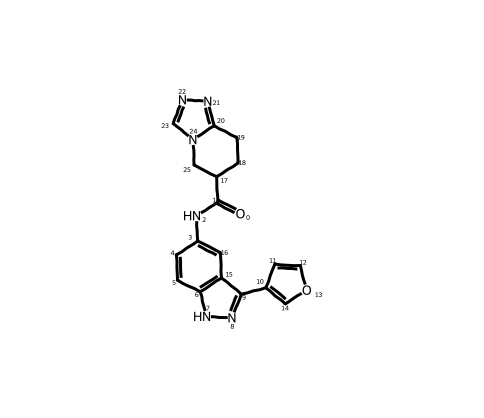 O=C(Nc1ccc2[nH]nc(-c3ccoc3)c2c1)C1CCc2nncn2C1